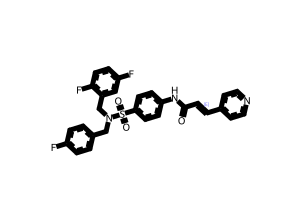 O=C(/C=C/c1ccncc1)Nc1ccc(S(=O)(=O)N(Cc2ccc(F)cc2)Cc2cc(F)ccc2F)cc1